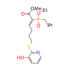 CCOP(=O)(CC(C)C)C(=CCCCSc1ncccc1O)C(=O)OC